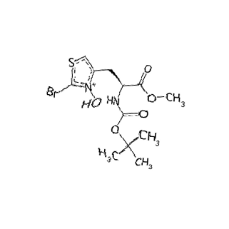 COC(=O)[C@H](Cc1csc(Br)[n+]1O)NC(=O)OC(C)(C)C